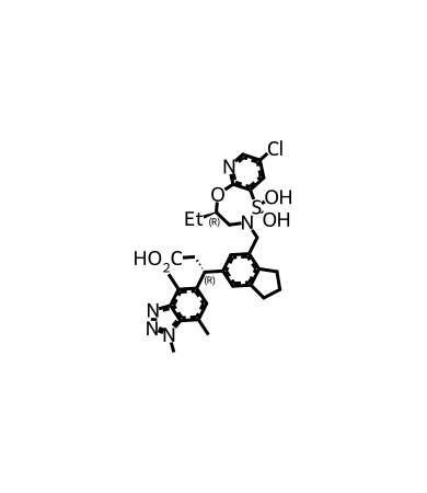 CC[C@@H]1CN(Cc2cc([C@@H](CC(=O)O)c3cc(C)c4c(nnn4C)c3C)cc3c2CCC3)S(O)(O)c2cc(Cl)cnc2O1